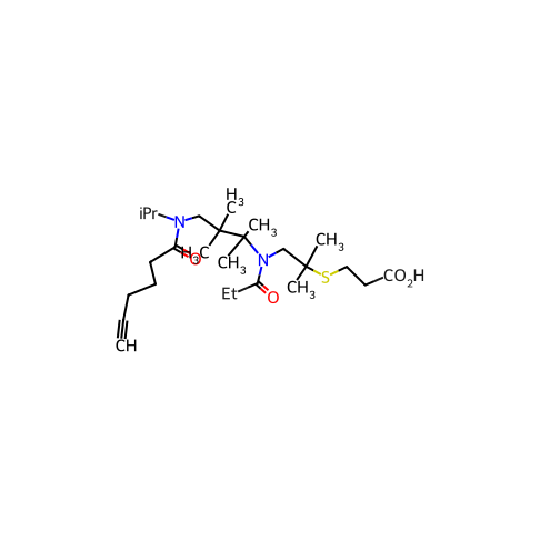 C#CCCCC(=O)N(CC(C)(C)C(C)(C)N(CC(C)(C)SCCC(=O)O)C(=O)CC)C(C)C